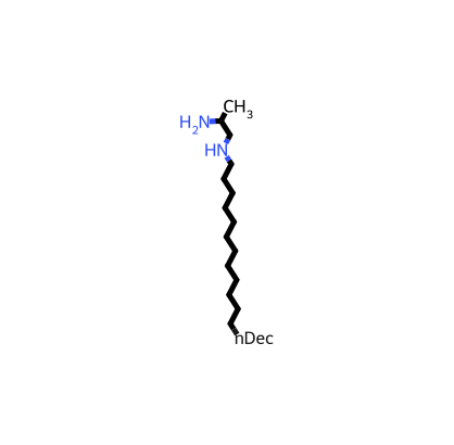 CCCCCCCCCCCCCCCCCCCCCCNCC(C)N